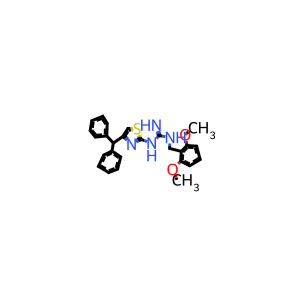 COc1cccc(OC)c1CNC(=N)Nc1nc(C(c2ccccc2)c2ccccc2)cs1